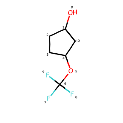 OC1CCC(OC(F)(F)F)C1